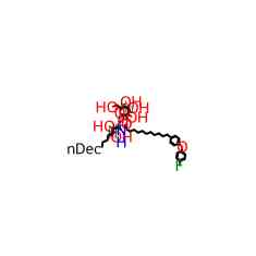 CCCCCCCCCCCCCC[C@@H](O)[C@@H](O)[C@H](CO[C@H]1OC(CO)[C@@H](O)[C@H](O)C1O)NC(=O)CCCCCCCCCCc1ccc(Oc2ccc(F)cc2)cc1